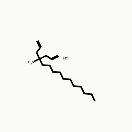 C=CCC(N)(CC=C)CCCCCCCCCCC.Cl